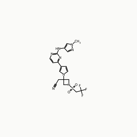 Cn1cc(Nc2nccc(-c3ccn(C4(CC#N)CN(S(=O)(=O)CC(F)(F)F)C4)c3)n2)cn1